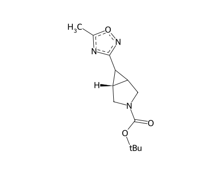 Cc1nc(C2C3CN(C(=O)OC(C)(C)C)C[C@@H]32)no1